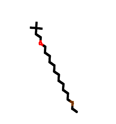 CCSCCCCCCCCCCCCOCCC(C)(C)C